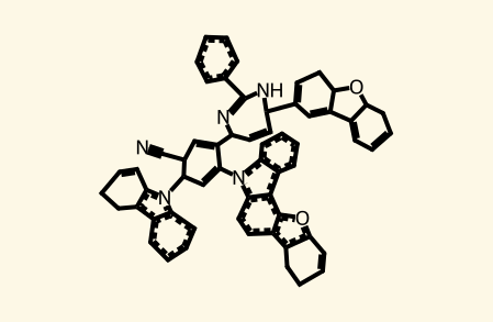 N#CC1C=C(C2C=CC(C3=CCC4OC5CC=CC=C5C4=C3)NC(c3ccccc3)=N2)C(n2c3ccccc3c3c4oc5c(c4ccc32)CCC=C5)=CC1n1c2c(c3ccccc31)CCC=C2